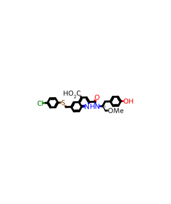 COC[C@H](Cc1ccc(O)cc1)NC(=O)c1cc(C(=O)O)c2cc(CSc3ccc(Cl)cc3)ccc2n1